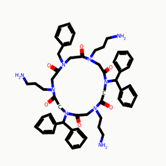 NCCCN1CC(=O)N(Cc2ccccc2)CC(=O)N(CCCN)CC(=O)N(C(c2ccccc2)c2ccccc2)CC(=O)N(CCCN)CC(=O)N(C(c2ccccc2)c2ccccc2)CC1=O